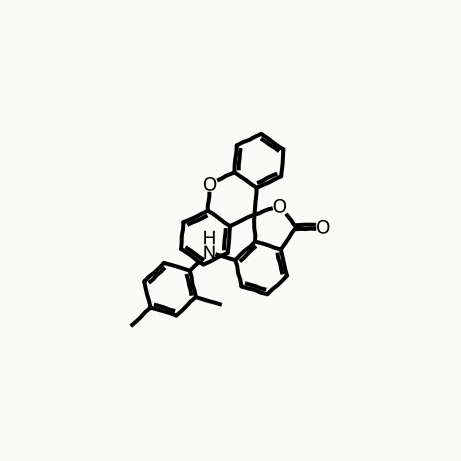 Cc1ccc(Nc2cccc3c2C2(OC3=O)c3ccccc3Oc3ccccc32)c(C)c1